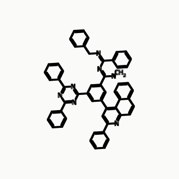 C=N/C(=N\C(=N/Cc1ccccc1)c1ccccc1)c1cc(-c2nc(-c3ccccc3)nc(-c3ccccc3)n2)cc(-c2cc(-c3ccccc3)nc3ccc4ccccc4c23)c1